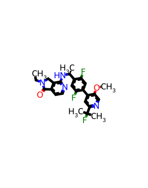 CCN1Cc2c(ccnc2N[C@@H](C)c2cc(F)c(-c3cc(C(C)(C)F)ncc3OC)cc2F)C1=O